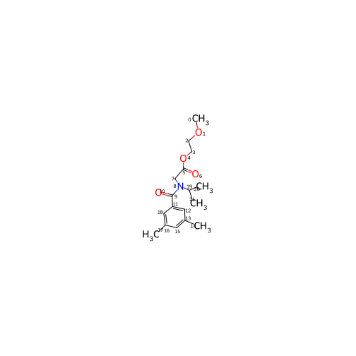 COCCOC(=O)CN(C(=O)c1cc(C)cc(C)c1)C(C)C